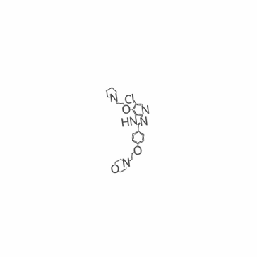 Clc1cnc2nc(-c3ccc(OCCN4CCOCC4)cc3)[nH]c2c1OCCN1CCCC1